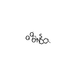 COC[C@H]1O[C@@H](n2ccc3cc(C)ccc3c2=S)CC1OC